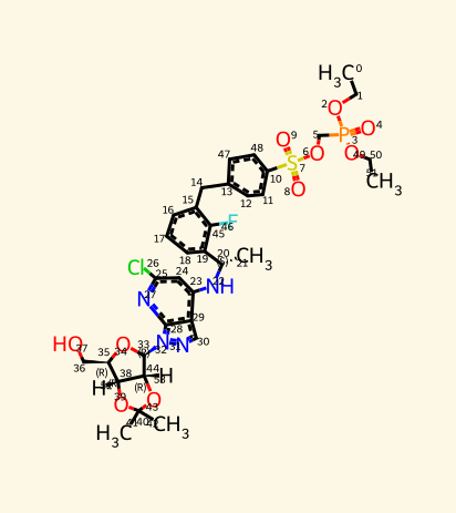 CCOP(=O)(COS(=O)(=O)c1ccc(Cc2cccc([C@H](C)Nc3cc(Cl)nc4c3cnn4[C@@H]3O[C@H](CO)[C@H]4OC(C)(C)O[C@H]43)c2F)cc1)OCC